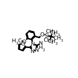 COc1cccc(CO[Si](C)(C)C(C)(C)C)c1-n1c(N)nnc1-c1ccco1